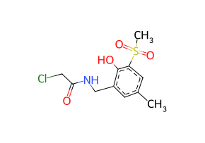 Cc1cc(CNC(=O)CCl)c(O)c(S(C)(=O)=O)c1